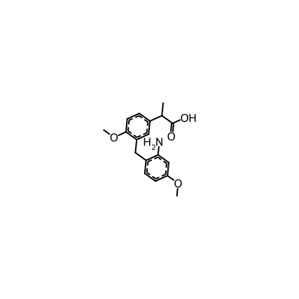 COc1ccc(Cc2cc(C(C)C(=O)O)ccc2OC)c(N)c1